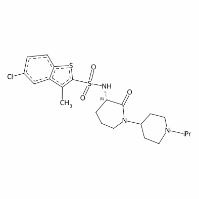 Cc1c(S(=O)(=O)N[C@H]2CCCN(C3CCN(C(C)C)CC3)C2=O)sc2ccc(Cl)cc12